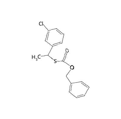 CC(SC(=O)OCc1ccccc1)c1cccc(Cl)c1